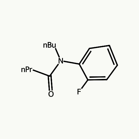 CCCCN(C(=O)CCC)c1ccccc1F